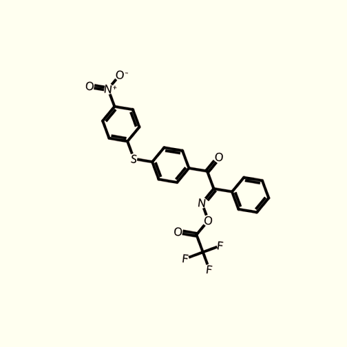 O=C(/C(=N/OC(=O)C(F)(F)F)c1ccccc1)c1ccc(Sc2ccc([N+](=O)[O-])cc2)cc1